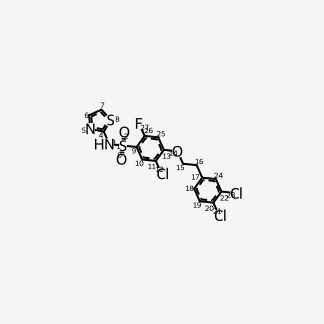 O=S(=O)(Nc1nccs1)c1cc(Cl)c(OCCc2ccc(Cl)c(Cl)c2)cc1F